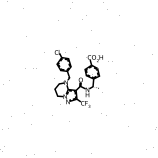 C[C@H](NC(=O)c1c(C(F)(F)F)nn2c1N(Cc1ccc(Cl)cc1)CCC2)c1ccc(C(=O)O)cc1